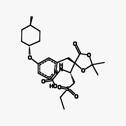 CCS(=O)(=O)C[C@H](NC(=O)O)[C@@]1(Cc2cc(O[C@H]3CC[C@H](C)CC3)ccn2)OC(C)(C)OC1=O